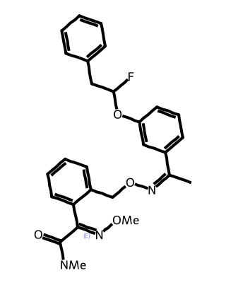 CNC(=O)/C(=N/OC)c1ccccc1CON=C(C)c1cccc(OC(F)Cc2ccccc2)c1